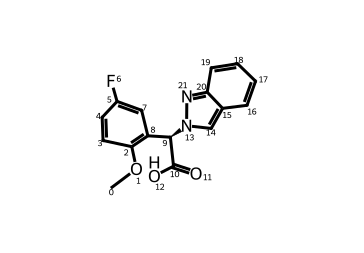 COc1ccc(F)cc1[C@H](C(=O)O)n1cc2ccccc2n1